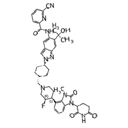 Cn1c(=O)n(C2CCC(=O)NC2=O)c2cccc([C@@H]3CCN(C[C@H]4CC[C@H](n5cc6cc(NC(=O)c7cccc(C#N)n7)c(C(C)(C)O)cc6n5)CC4)C[C@@H]3F)c21